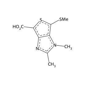 CSc1sc(C(=O)O)c2nc(C)n(C)c12